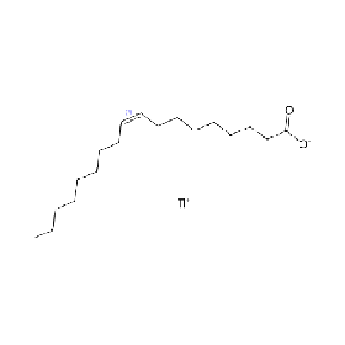 CCCCCCCC/C=C\CCCCCCCC(=O)[O-].[Tl+]